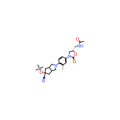 CC(=O)NC[C@H]1CN(c2ccc(N3CC4CC(C#N)(O[Si](C)(C)C)CC4C3)c(F)c2)C(=O)O1